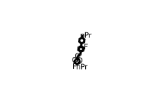 CCCC1CCC(c2ccc(COC3OCC(F)(CCC)CO3)cc2F)CC1